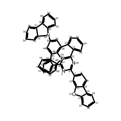 c1ccc(-c2nc(-c3ccc4c(c3)oc3ccccc34)nc(-c3ccccc3-c3cc(-n4c5ccccc5c5ccccc54)cc4c3sc3ccccc34)n2)cc1